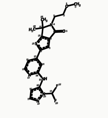 COCCN1C(=O)c2cc(-c3ccnc(Nc4ccnn4C(F)F)c3)sc2C1(C)C